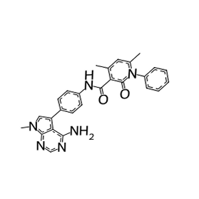 Cc1cc(C)n(-c2ccccc2)c(=O)c1C(=O)Nc1ccc(-c2cn(C)c3ncnc(N)c23)cc1